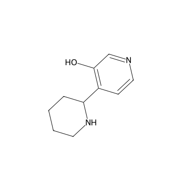 Oc1cnccc1C1CCCCN1